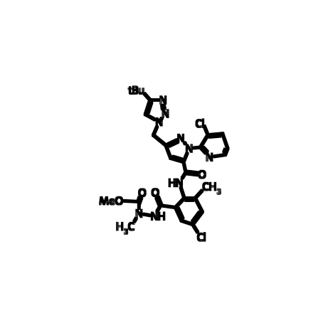 COC(=O)N(C)NC(=O)c1cc(Cl)cc(C)c1NC(=O)c1cc(Cn2cc(C(C)(C)C)nn2)nn1-c1ncccc1Cl